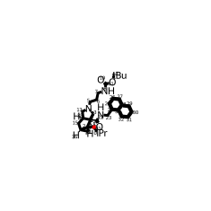 CC(C)C[C@H]1C2N(CCCNC(=O)OC(C)(C)C)C[C@@H]3C[C@@H]1C=N[C@@]23C(=O)NCc1cccc2ccccc12